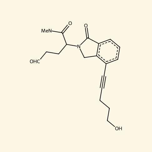 CNC(=O)C(CCC=O)N1Cc2c(C#CCCCO)cccc2C1=O